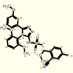 COc1cccc(-c2nnc(NS(=O)(=O)C[C@@H](OC)c3ccc(F)cc3C#N)n2-c2c(OC)cccc2OC)n1